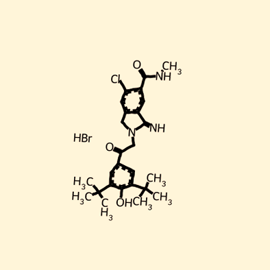 Br.CNC(=O)c1cc2c(cc1Cl)CN(CC(=O)c1cc(C(C)(C)C)c(O)c(C(C)(C)C)c1)C2=N